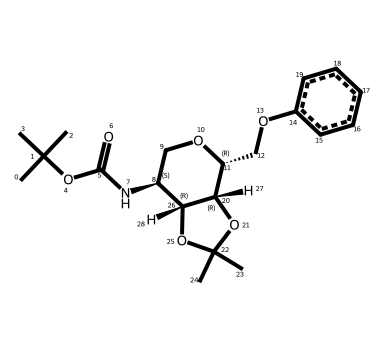 CC(C)(C)OC(=O)N[C@H]1CO[C@H](COc2ccccc2)[C@@H]2OC(C)(C)O[C@@H]21